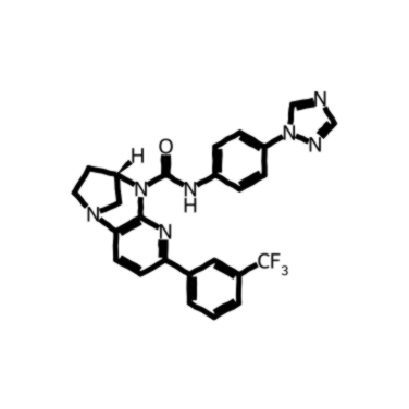 O=C(Nc1ccc(-n2cncn2)cc1)N1c2nc(-c3cccc(C(F)(F)F)c3)ccc2N2CC[C@H]1C2